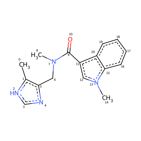 Cc1[nH]cnc1CN(C)C(=O)c1cn(C)c2ccccc12